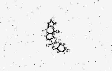 Cc1cc2[nH]c3ccc(S(=O)(=O)Oc4ccc(Cl)cc4Cl)cc3c(=O)n2n1